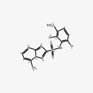 CCOC(=O)c1ccc(Cl)c(NS(=O)(=O)c2nc3nccc(C)n3n2)c1Cl